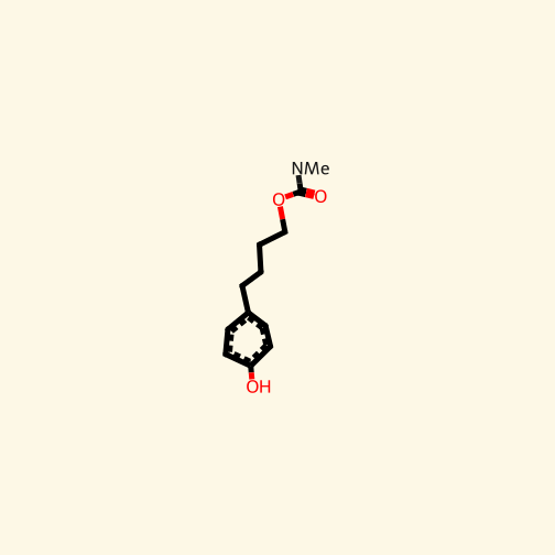 CNC(=O)OCCCCc1ccc(O)cc1